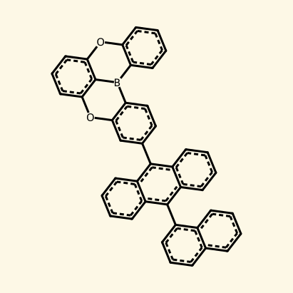 c1ccc2c(c1)Oc1cccc3c1B2c1ccc(-c2c4ccccc4c(-c4cccc5ccccc45)c4ccccc24)cc1O3